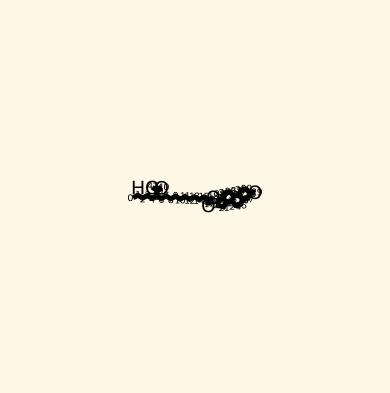 CCCCCC(CCCCCCCCCCC(=O)O[C@H]1CCC2C3CCC4=CC(=O)CC[C@]4(C)C3CC[C@@]21C)C(=O)O